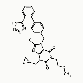 COCCn1c(=O)c2c(nc(C)n2Cc2ccc(-c3ccccc3-c3nnn[nH]3)cc2)n(CC2CC2)c1=O